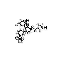 CCS(=O)(=O)c1cccc(-c2ccc(OCC3CCNC3)c3[nH]c4ncc(C)cc4c23)c1